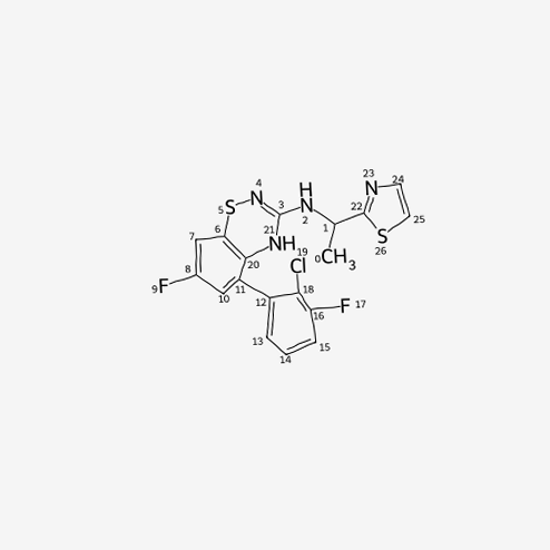 CC(NC1=NSc2cc(F)cc(-c3cccc(F)c3Cl)c2N1)c1nccs1